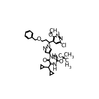 COc1nnc(Cl)cc1C(CCOCc1ccccc1)n1cc(NC(=O)[C@@H](NC(=O)OC(C)(C)C)C(C2CC2)C2CC2)cn1